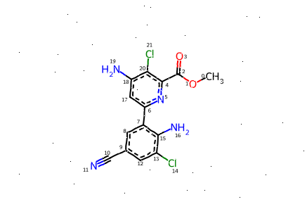 COC(=O)c1nc(-c2cc(C#N)cc(Cl)c2N)cc(N)c1Cl